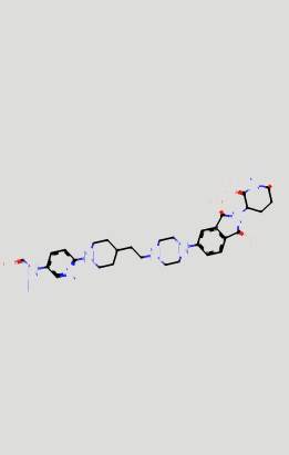 O=CNc1ccc(N2CCC(CCN3CCN(c4ccc5c(c4)C(=O)N(C4CCC(=O)NC4=O)C5=O)CC3)CC2)nc1